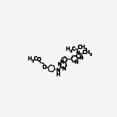 COCCO[C@H]1CC[C@H](Nc2ncc3c(-c4cnc5nc(C)n(C(C)C)c5c4)ccn3n2)CC1